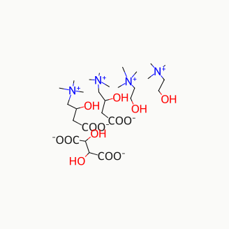 C[N+](C)(C)CC(O)CC(=O)[O-].C[N+](C)(C)CC(O)CC(=O)[O-].C[N+](C)(C)CCO.C[N+](C)(C)CCO.O=C([O-])C(O)C(O)C(=O)[O-]